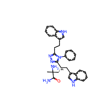 CC(N)(C[C@@H](Cc1c[nH]c2ccccc12)c1nnc(CCc2c[nH]c3ccccc23)n1-c1ccccc1)C(N)=O